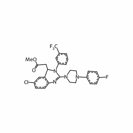 COC(=O)CC1c2cc(Cl)ccc2N=C(N2CCN(c3ccc(F)cc3)CC2)N1c1cccc(C(F)(F)F)c1